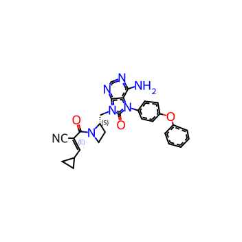 N#C/C(=C\C1CC1)C(=O)N1CC[C@H]1Cn1c(=O)n(-c2ccc(Oc3ccccc3)cc2)c2c(N)ncnc21